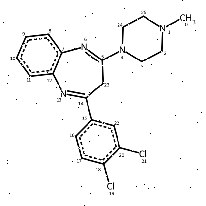 CN1CCN(C2=Nc3ccccc3N=C(c3ccc(Cl)c(Cl)c3)C2)CC1